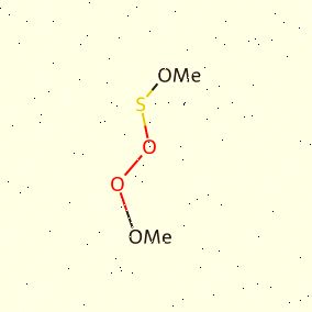 COOOSOC